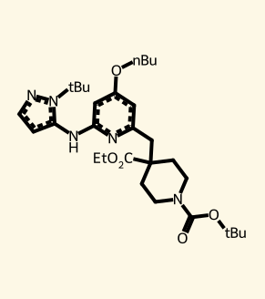 CCCCOc1cc(CC2(C(=O)OCC)CCN(C(=O)OC(C)(C)C)CC2)nc(Nc2ccnn2C(C)(C)C)c1